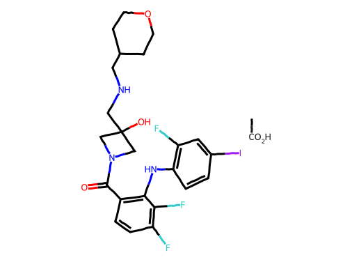 CC(=O)O.O=C(c1ccc(F)c(F)c1Nc1ccc(I)cc1F)N1CC(O)(CNCC2CCOCC2)C1